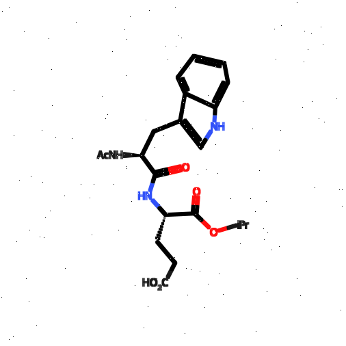 CC(=O)N[C@@H](Cc1c[nH]c2ccccc12)C(=O)N[C@@H](CCC(=O)O)C(=O)OC(C)C